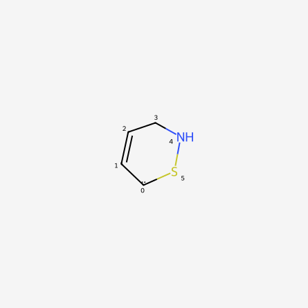 [C]1C=CCNS1